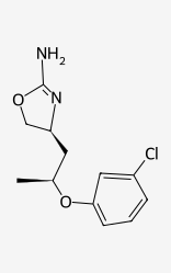 C[C@@H](C[C@H]1COC(N)=N1)Oc1cccc(Cl)c1